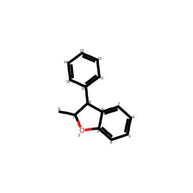 CC1Oc2ccccc2C1c1ccccc1